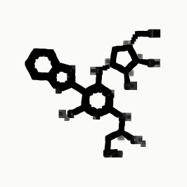 COC[C@H](C)Nc1nc(C)c(-c2nc3ccccc3s2)c(N[C@@H]2C[C@H](CO)[C@@H](O)[C@H]2O)n1